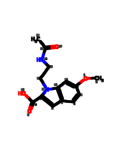 COc1ccc2cc(C(=O)O)n(CCNC(C)=O)c2c1